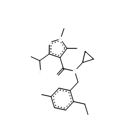 CCc1ccc(F)cc1CN(C(=O)c1c(C(F)F)nn(C)c1F)C1CC1